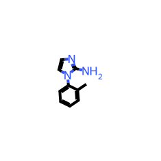 Cc1ccccc1-n1ccnc1N